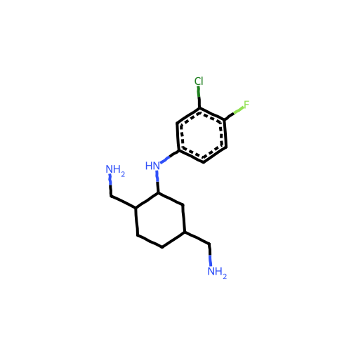 NCC1CCC(CN)C(Nc2ccc(F)c(Cl)c2)C1